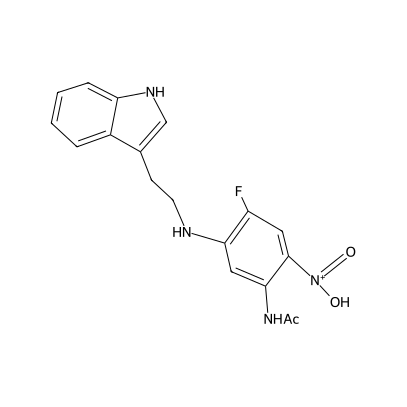 CC(=O)Nc1cc(NCCc2c[nH]c3ccccc23)c(F)cc1[N+](=O)O